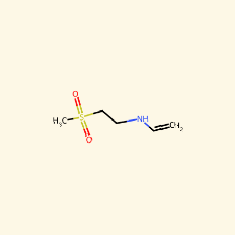 C=CNCCS(C)(=O)=O